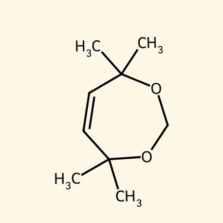 CC1(C)C=CC(C)(C)OCO1